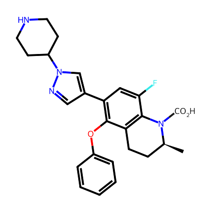 C[C@H]1CCc2c(Oc3ccccc3)c(-c3cnn(C4CCNCC4)c3)cc(F)c2N1C(=O)O